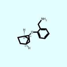 NCc1ccccc1O[C@H]1C[C@H]2CC[C@@H]1C2